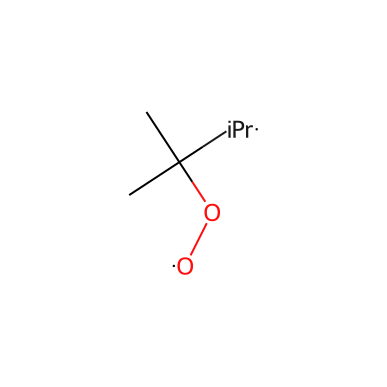 C[C](C)C(C)(C)O[O]